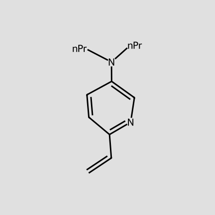 C=Cc1ccc(N(CCC)CCC)cn1